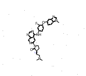 CN(C)C/C=C1\CCN(c2cc3c(Nc4ccc(Oc5ccc6c(c5)ncn6C)c(F)c4)ncnc3cn2)C1=O